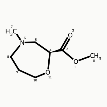 COC(=O)[C@@H]1CN(C)CCCO1